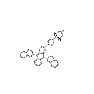 Cc1cnc(-c2ccc(-c3ccc4c(-c5ccc6ccccc6c5)c5ccccc5c(-c5ccc6ccccc6c5)c4c3)cc2)nc1